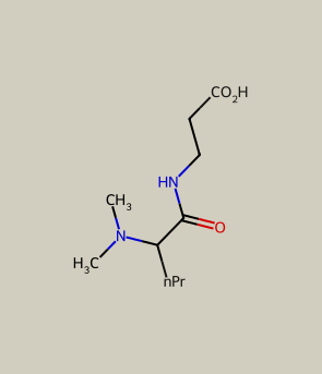 CCCC(C(=O)NCCC(=O)O)N(C)C